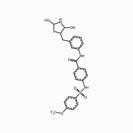 O=C(Nc1cccc(CC2SC(O)NC2O)c1)c1ccc(NS(=O)(=O)c2ccc(OC(F)(F)F)cc2)cc1